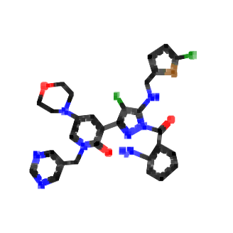 Nc1ccccc1C(=O)n1nc(-c2cc(N3CCOCC3)cn(Cc3cncnc3)c2=O)c(F)c1NCc1ccc(Cl)s1